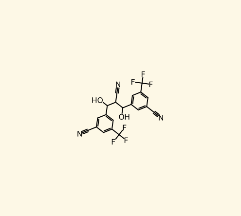 N#Cc1cc(C(O)C(C#N)C(O)c2cc(C#N)cc(C(F)(F)F)c2)cc(C(F)(F)F)c1